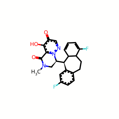 CN1C[C@H]([C@@H]2c3cc(F)ccc3CCC3C(F)=CC=CC32)n2ncc(=O)c(O)c2C1=O